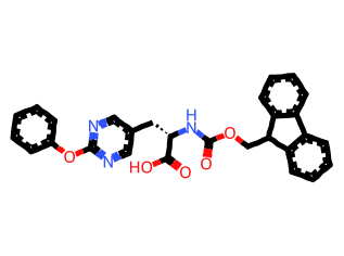 O=C(N[C@@H](Cc1cnc(Oc2ccccc2)nc1)C(=O)O)OCC1c2ccccc2-c2ccccc21